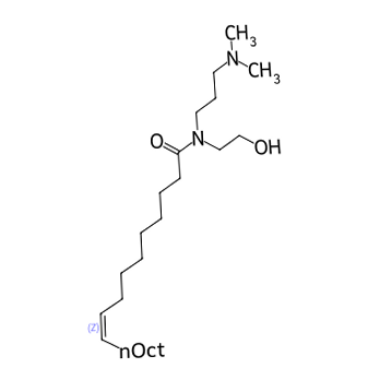 CCCCCCCC/C=C\CCCCCCCC(=O)N(CCO)CCCN(C)C